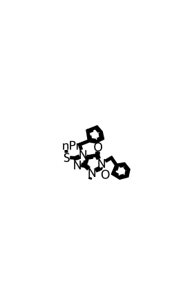 CCCSc1nc2c(c(=O)n(Cc3ccccc3)c(=O)n2C)n1Cc1ccccc1